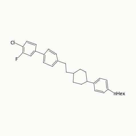 CCCCCCc1ccc(C2CCC(CCc3ccc(-c4ccc(Cl)c(F)c4)cc3)CC2)cc1